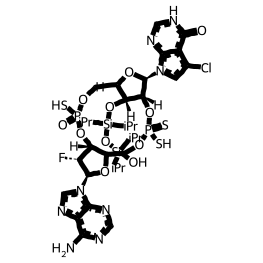 CC(C)[Si](O)(O[Si](O[C@H]1[C@H]2OP(=S)(S)OCC3O[C@@H](n4cnc5c(N)ncnc54)[C@H](F)[C@@H]3OP(=O)(S)OC[C@H]1O[C@H]2n1cc(Cl)c2c(=O)[nH]cnc21)(C(C)C)C(C)C)C(C)C